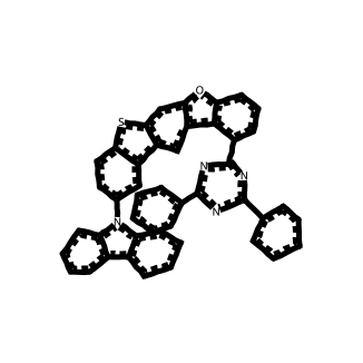 c1ccc(-c2nc(-c3ccccc3)nc(-c3cccc4oc5cc6sc7ccc(-n8c9ccccc9c9ccccc98)cc7c6cc5c34)n2)cc1